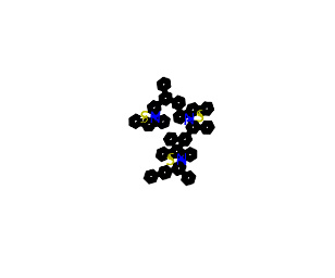 c1ccc(-c2ccc(-c3cc(-c4ccccc4)cc(-n4c5ccccc5c5c(-c6ccc(-c7cc(-c8ccccc8)cc(-n8c9cccc(-c%10cccc(-c%11cc(-c%12ccccc%12)cc(-c%12cccc(-n%13c%14ccccc%14c%14ccc%15c%16ccccc%16sc%15c%14%13)c%12)c%11)c%10)c9c9ccc%10c%11ccccc%11sc%10c98)c7)cc6-c6ccccc6)cc6c7ccccc7sc6c54)c3)cc2)cc1